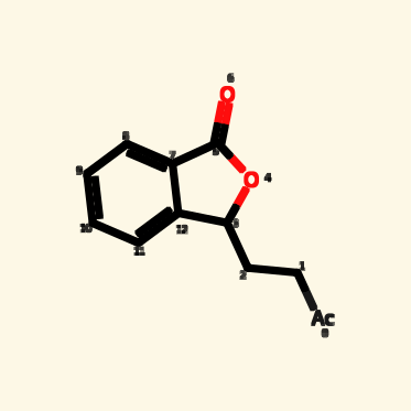 CC(=O)CCC1OC(=O)c2ccccc21